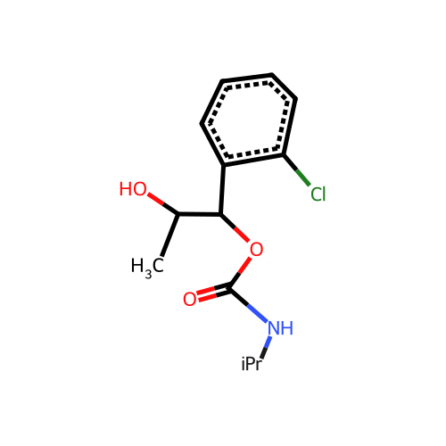 CC(C)NC(=O)OC(c1ccccc1Cl)C(C)O